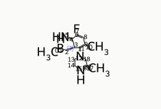 CB/C=C1\C(=N)C(F)=CC(C)=C1N1CCN[C@@H](C)C1